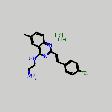 Cc1ccc2nc(C=Cc3ccc(Cl)cc3)nc(NCCN)c2c1.Cl.Cl